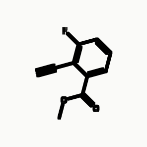 C#Cc1c(F)cccc1C(=O)OC